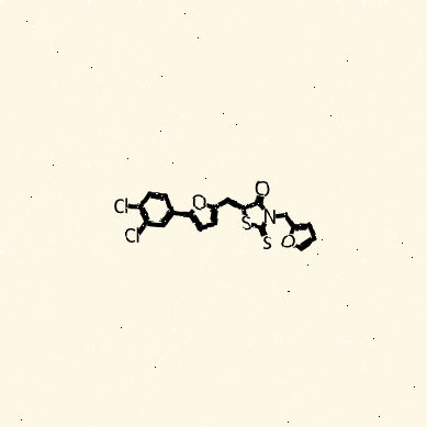 O=C1C(=Cc2ccc(-c3ccc(Cl)c(Cl)c3)o2)SC(=S)N1Cc1ccco1